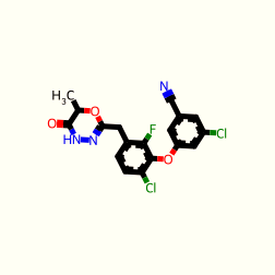 CC1OC(Cc2ccc(Cl)c(Oc3cc(Cl)cc(C#N)c3)c2F)=NNC1=O